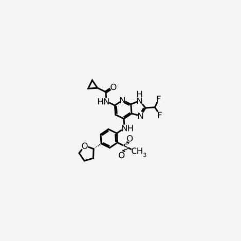 CS(=O)(=O)c1cc([C@@H]2CCCO2)ccc1Nc1cc(NC(=O)C2CC2)nc2[nH]c(C(F)F)nc12